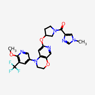 COc1ncc(N2CCOc3cnc(OC4CCN(C(=O)c5cn(C)cn5)C4)cc32)cc1C(F)(F)F